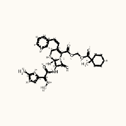 CC1(C(=O)OCOC(=O)C2=C(/C=C\c3cccnc3)CS[C@H]3[C@H](NC(=O)C(=NO)c4csc(N)n4)C(=O)N23)CCCCC1